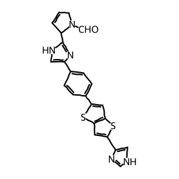 O=CN1CC=CC1c1nc(-c2ccc(-c3cc4sc(-c5c[nH]cn5)cc4s3)cc2)c[nH]1